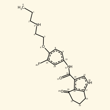 CCCNCCOc1ccc(NC(=O)c2c[nH]c3c2C(=O)CCC3)cc1F